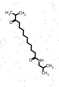 CC(C)CNC(=O)CCCCCCCCCC(=O)C(C)C